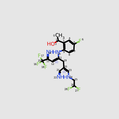 CC(O)c1cc(F)ccc1N/C(=C\C(=N)C(F)(F)F)C/C(C=N)=C/NCC(F)F